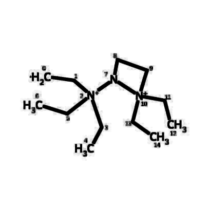 [CH2]C[N+](CC)(CC)N1CC[N+]1(CC)CC